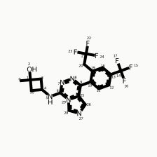 CC1(O)CC(Nc2nnc(-c3ccc(C(F)(F)F)cc3CC(F)(F)F)c3cncn23)C1